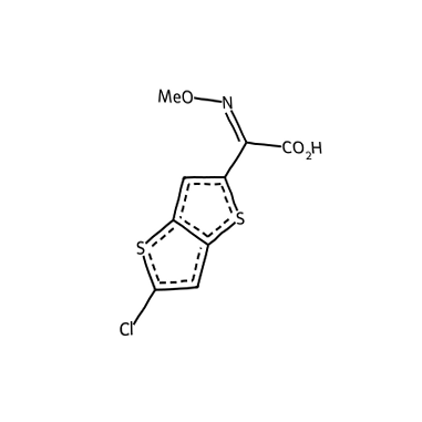 CO/N=C(/C(=O)O)c1cc2sc(Cl)cc2s1